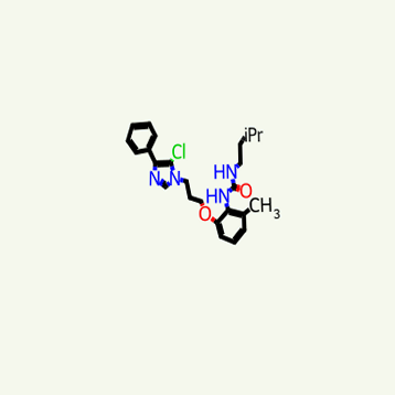 Cc1cccc(OCCCn2cnc(-c3ccccc3)c2Cl)c1NC(=O)NCCC(C)C